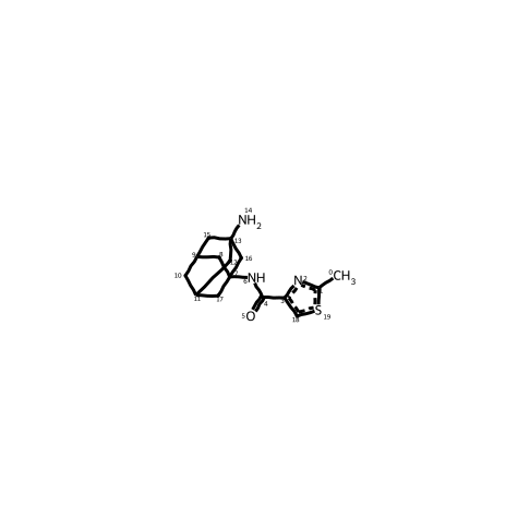 Cc1nc(C(=O)NC23CC4CC(CC(N)(C4)C2)C3)cs1